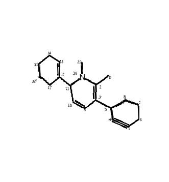 CC1=C(C2C#CCCC2)C=CC(C2=CCCCC2)N1C